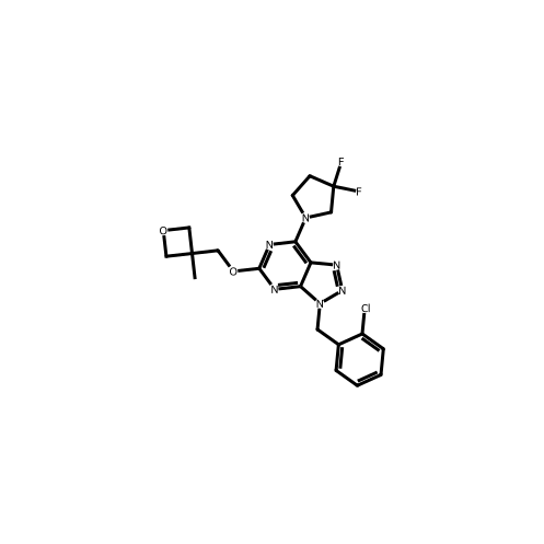 CC1(COc2nc(N3CCC(F)(F)C3)c3nnn(Cc4ccccc4Cl)c3n2)COC1